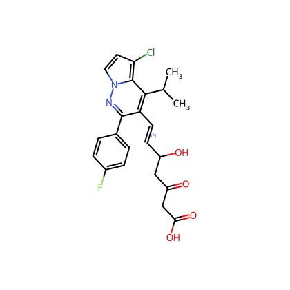 CC(C)c1c(/C=C/C(O)CC(=O)CC(=O)O)c(-c2ccc(F)cc2)nn2ccc(Cl)c12